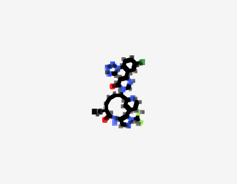 C[C@@H]1CCC[C@H](n2cnc(-c3cc(Cl)ccc3-n3cnnn3)cc2=O)c2cc(ccn2)-c2c(cnn2C(F)F)NC1=O